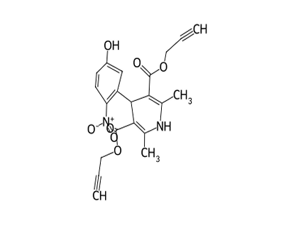 C#CCOC(=O)C1=C(C)NC(C)=C(C(=O)OCC#C)C1c1cc(O)ccc1[N+](=O)[O-]